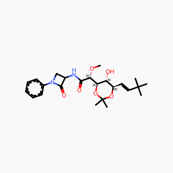 CO[C@@H](C(=O)NC1CN(c2ccccc2)C1=O)[C@@H]1OC(C)(C)O[C@H](C=CC(C)(C)C)[C@H]1O